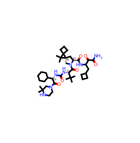 CC1(C)CN(C(=O)[C@@H](NC(=O)N[C@H](C(=O)N2C[C@]3(C[C@H]2C(=O)NC(CC2CCC2)C(=O)C(N)=O)C(C)(C)C32CCC2)C(C)(C)C)C2CCCCC2)CCN1